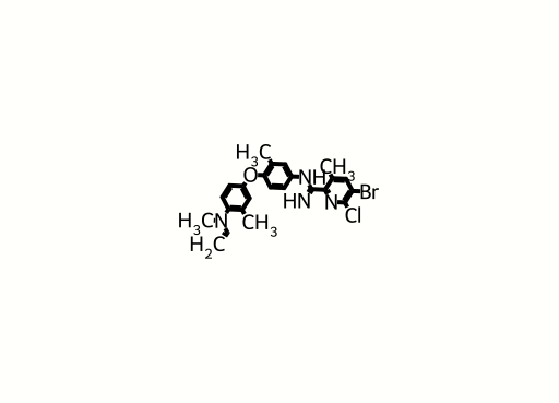 C=CN(C)c1ccc(Oc2ccc(NC(=N)c3nc(Cl)c(Br)cc3C)cc2C)cc1C